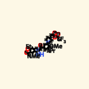 CCOc1cc2c(cc1C(=O)NC)C(=N)N(CC(=O)c1cc(C(C)C)c(OC)c(N3CCC(CC(=O)OC(=O)C(F)(F)F)CC3)c1)C2